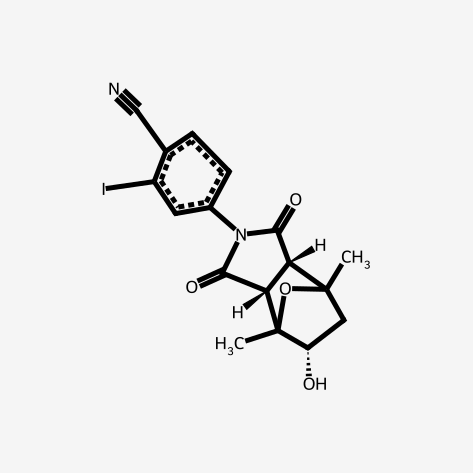 CC12C[C@H](O)C(C)(O1)[C@@H]1C(=O)N(c3ccc(C#N)c(I)c3)C(=O)[C@@H]12